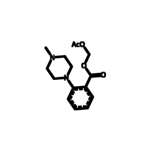 CC(=O)OCOC(=O)c1ccccc1N1CCN(C)CC1